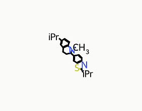 CC(C)c1ccc2c(c1)CCC(c1ccc3nc(C(C)C)sc3c1)N2C